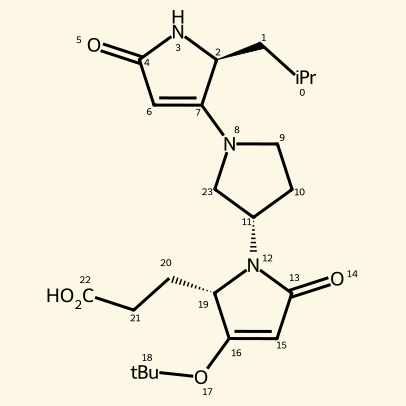 CC(C)C[C@@H]1NC(=O)C=C1N1CC[C@H](N2C(=O)C=C(OC(C)(C)C)[C@@H]2CCC(=O)O)C1